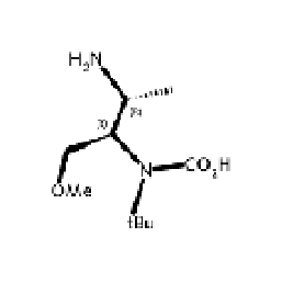 COC[C@@H]([C@@H](C)N)N(C(=O)O)C(C)(C)C